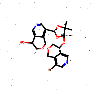 CC1(C)OB(c2cncc3c2COCC3O)O[C@]1(C)OC1COCc2c(Br)cncc21